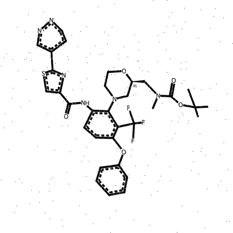 CN(C[C@H]1CN(c2c(NC(=O)c3csc(-c4ccnnc4)n3)ccc(Oc3ccccc3)c2C(F)(F)F)CCO1)C(=O)OC(C)(C)C